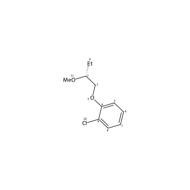 CC[C@H](COc1ccccc1Cl)OC